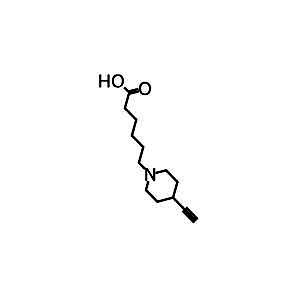 C#CC1CCN(CCCCCC(=O)O)CC1